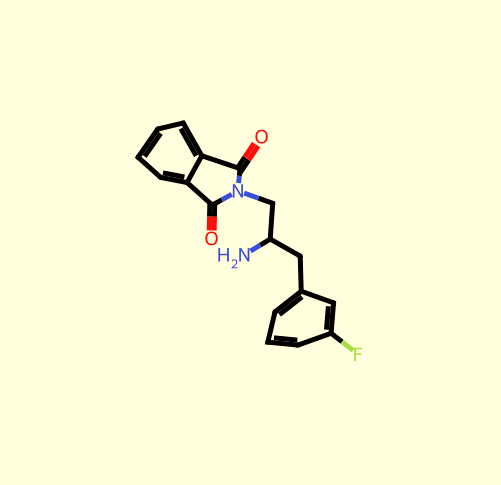 NC(Cc1cccc(F)c1)CN1C(=O)c2ccccc2C1=O